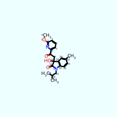 COc1cccc(C(=O)CC2(O)C(=O)N(CC(C)C)c3ccc(C)cc32)n1